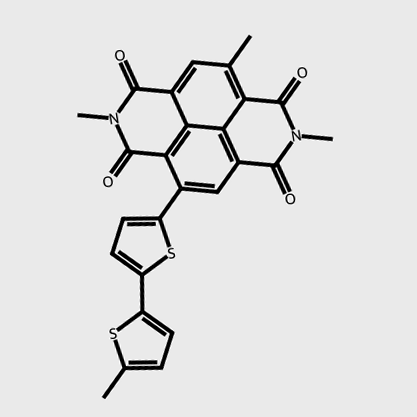 Cc1ccc(-c2ccc(-c3cc4c5c(c(C)cc6c5c3C(=O)N(C)C6=O)C(=O)N(C)C4=O)s2)s1